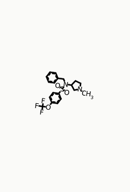 CN1CCC(N(Cc2ccccc2)S(=O)(=O)c2ccc(OC(F)(F)F)cc2)C1